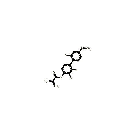 C=C(C)C(=O)Oc1ccc(-c2ccc(OC)cc2F)c(F)c1F